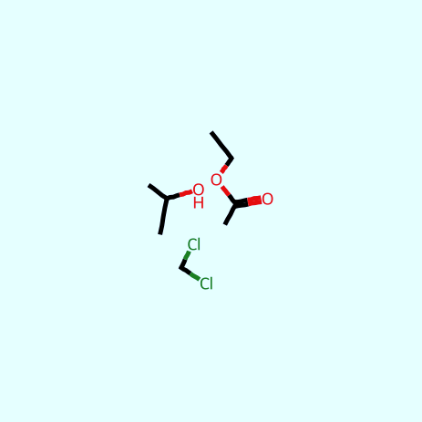 CC(C)O.CCOC(C)=O.ClCCl